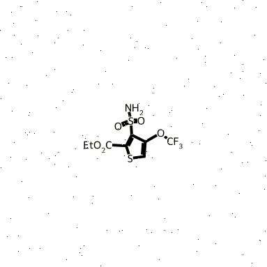 CCOC(=O)c1scc(OC(F)(F)F)c1S(N)(=O)=O